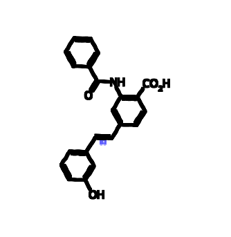 O=C(Nc1cc(/C=C/c2cccc(O)c2)ccc1C(=O)O)c1ccccc1